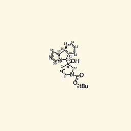 CC(C)(C)OC(=O)N1CCC[C@](O)(C2c3ccccc3-c3cncn32)C1